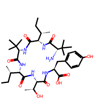 CC[C@H](C)[C@H](NC(=O)[C@@H](N)C(C)(C)C)C(=O)N[C@H](C(=O)N[C@H](C(=O)N[C@H](C(=O)N[C@@H](Cc1ccc(O)cc1)C(=O)O)[C@@H](C)O)[C@@H](C)CC)C(C)(C)C